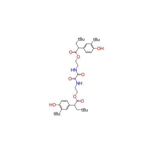 CC(C)(C)CC(C(=O)OCCNC(=O)C(=O)NCCOC(=O)C(CC(C)(C)C)c1ccc(O)c(C(C)(C)C)c1)c1ccc(O)c(C(C)(C)C)c1